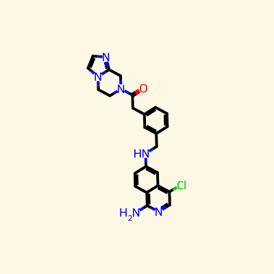 Nc1ncc(Cl)c2cc(NCc3cccc(CC(=O)N4CCn5ccnc5C4)c3)ccc12